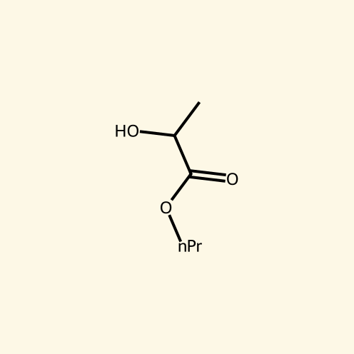 CCCOC(=O)C(C)O